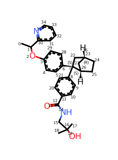 CC(Oc1ccc([C@@]2(c3ccc(C(=O)NCC(C)(C)O)cc3)C[C@@H]3CC[C@H]2C3)cc1)c1ccccn1